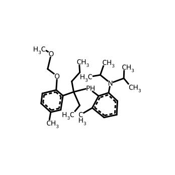 CCCC(CC)(Pc1c(C)cccc1N(C(C)C)C(C)C)c1cc(C)ccc1OCOC